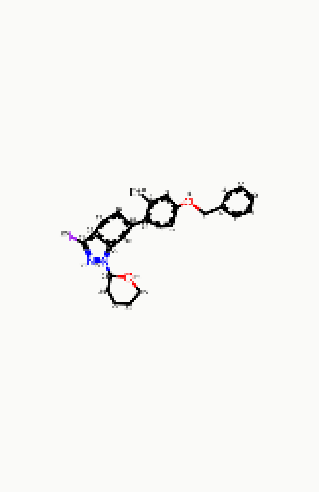 CCc1cc(OCc2ccccc2)ccc1-c1ccc2c(I)nn(C3CCCCO3)c2c1